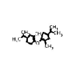 CC1=C(OC2=C(C)CC(C(C)C)CC2)CCC(C(C)C)C1